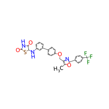 Cc1oc(-c2ccc(C(F)(F)F)cc2)nc1COc1ccc(-c2cccc(NC3SC(=O)NC3=O)c2)cc1